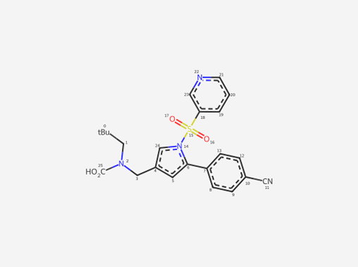 CC(C)(C)CN(Cc1cc(-c2ccc(C#N)cc2)n(S(=O)(=O)c2cccnc2)c1)C(=O)O